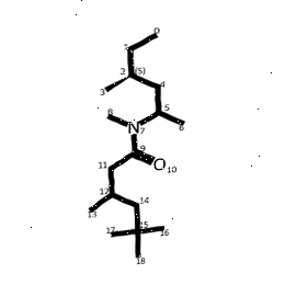 CC[C@H](C)CC(C)N(C)C(=O)CC(C)CC(C)(C)C